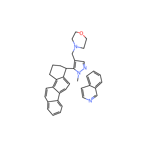 Cn1ncc(CN2CCOCC2)c1C1CCCc2c1ccc1c2ccc2ccccc21.c1ccc2cnccc2c1